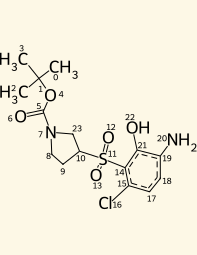 CC(C)(C)OC(=O)N1CCC(S(=O)(=O)c2c(Cl)ccc(N)c2O)C1